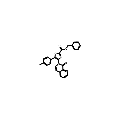 Cc1ccc(-c2oc(C(=O)OCc3ccccc3)nc2-n2ccc3cccnc3c2=O)cc1